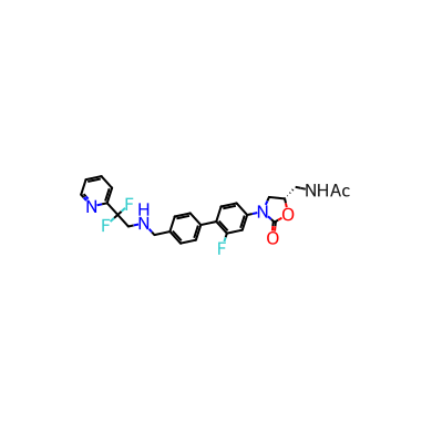 CC(=O)NC[C@H]1CN(c2ccc(-c3ccc(CNCC(F)(F)c4ccccn4)cc3)c(F)c2)C(=O)O1